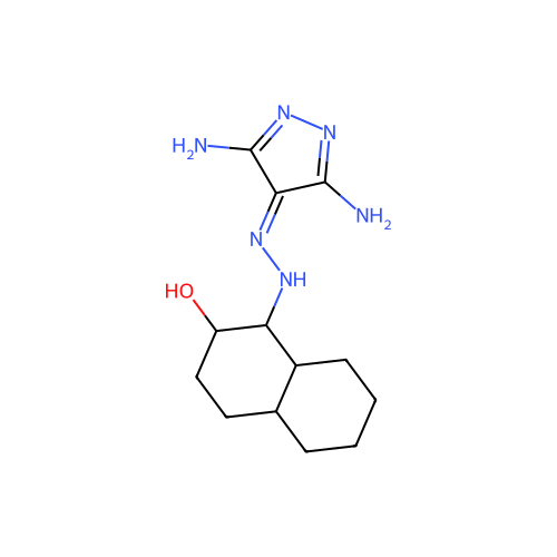 NC1=NN=C(N)C1=NNC1C(O)CCC2CCCCC21